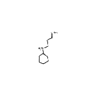 CCCCCCCCC[SiH2][C]1CC[CH]CC1